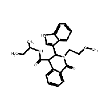 CCC(C)NC(=O)C1c2ccccc2C(=O)N(CCOC)C1c1c[nH]c2ccccc12